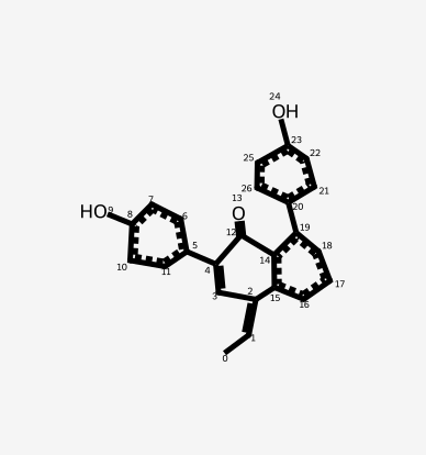 CC=C1C=C(c2ccc(O)cc2)C(=O)c2c1cccc2-c1ccc(O)cc1